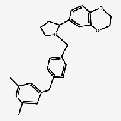 Cc1cc(Cc2ccc(CN3CCCC3c3ccc4c(c3)OCCO4)cc2)cc(C)n1